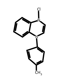 Cc1ccc(N2C=CN(Cl)c3ccccc32)cc1